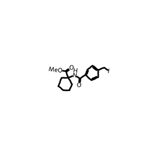 COC(=O)C1(NC(=O)c2ccc(CI)cc2)CCCCC1